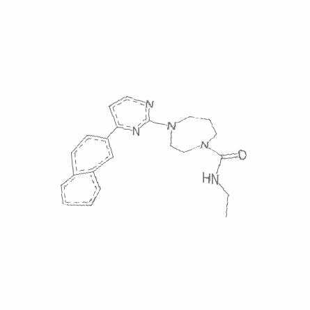 CCNC(=O)N1CCCN(c2nccc(-c3ccc4ccccc4c3)n2)CC1